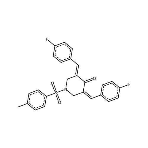 Cc1ccc(S(=O)(=O)N2C/C(=C/c3ccc(F)cc3)C(=O)/C(=C/c3ccc(F)cc3)C2)cc1